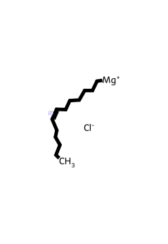 CCCCC/C=C\CCCCC[CH2][Mg+].[Cl-]